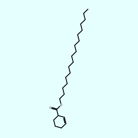 CCCCCCCCCCCCCCCCCCOC(=O)C1C=C[CH]CC1